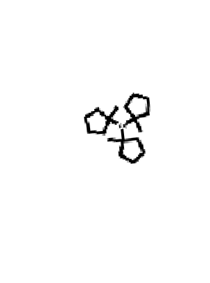 CC1([As](C2(C)CCCC2)C2(C)CCCC2)CCCC1